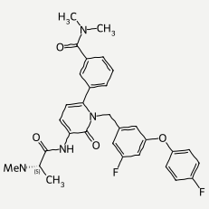 CN[C@@H](C)C(=O)Nc1ccc(-c2cccc(C(=O)N(C)C)c2)n(Cc2cc(F)cc(Oc3ccc(F)cc3)c2)c1=O